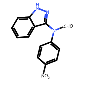 O=CN(c1ccc([N+](=O)[O-])cc1)c1n[nH]c2ccccc12